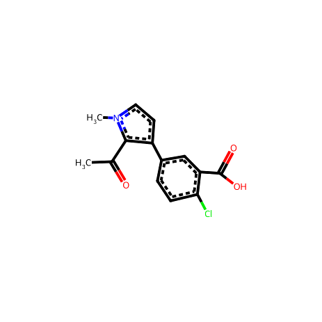 CC(=O)c1c(-c2ccc(Cl)c(C(=O)O)c2)ccn1C